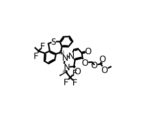 COC(=O)OCOc1c2n(ccc1=O)N([C@@H]1c3ccccc3SCc3c1cccc3C(C)(F)F)CN([C@H](C)C(F)(F)F)C2=O